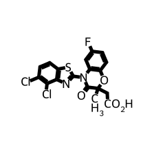 CC1(CC(=O)O)Oc2ccc(F)cc2N(c2nc3c(Cl)c(Cl)ccc3s2)C1=O